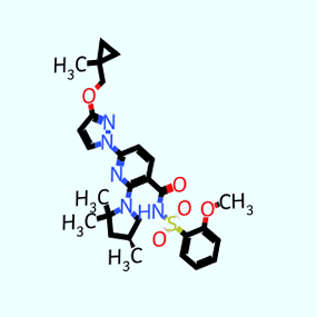 COc1ccccc1S(=O)(=O)NC(=O)c1ccc(-n2ccc(OCC3(C)CC3)n2)nc1N1C[C@@H](C)CC1(C)C